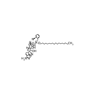 CCCCCCCCCCCCCCCCCCOC[C@H](COP(=O)(O)OC1[C@H]2O[C@@](C#N)(C3CC=C4C(N)=NC=NN43)[C@H](O)[C@@]12O)OCc1ccccc1C#N